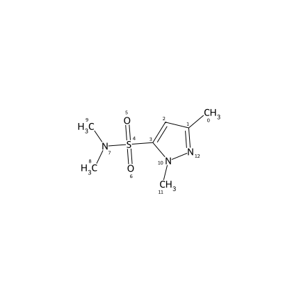 Cc1cc(S(=O)(=O)N(C)C)n(C)n1